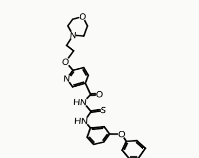 O=C(NC(=S)Nc1cccc(Oc2ccccc2)c1)c1ccc(OCCN2CCOCC2)nc1